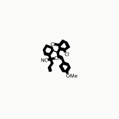 C=CCC(C#N)(C#N)C1=CCCC[C@H]1C(/C=C/c1ccc(OC)cc1)c1c(Cl)cccc1Cl